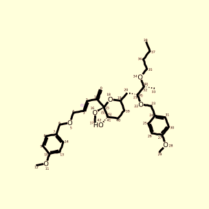 C=C(/C=C/COCc1ccc(OC)cc1)[C@]1(OC)OC(C[C@@H](OCc2ccc(OC)cc2)[C@@H](C)OCCCC)CC[C@@H]1O